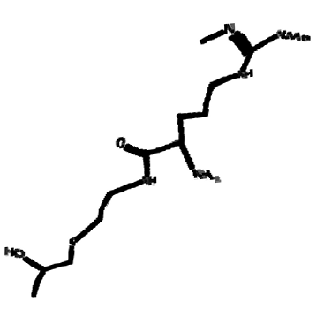 C/N=C(/NC)NCCCC(N)C(=O)NCCSCC(C)O